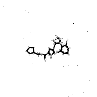 O=C(NCC1CCCC1)c1cc(-c2nnnn2-c2c(F)cccc2F)c[nH]1